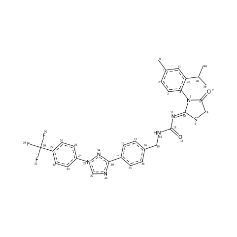 Cc1ccc(N2C(=O)CS/C2=N\C(=O)NCc2ccc(-c3ncn(-c4ccc(C(F)(F)F)cc4)n3)cc2)c(C(C)C)c1